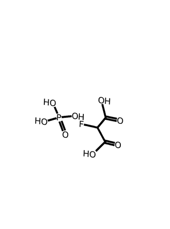 O=C(O)C(F)C(=O)O.O=P(O)(O)O